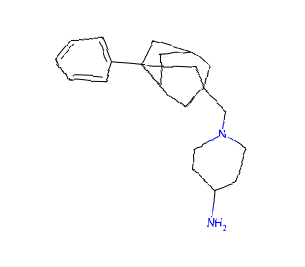 NC1CCN(CC23CC4CC(C2)C(c2ccccc2)(C4)C3)CC1